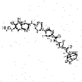 CCc1cc2ncc(CN3CCN(c4ccc(C(=O)NC5CN(C(=O)CC67CC8CC(CC(C8)C6)C7)C5)nc4)CC3)cc2[nH]c1=O